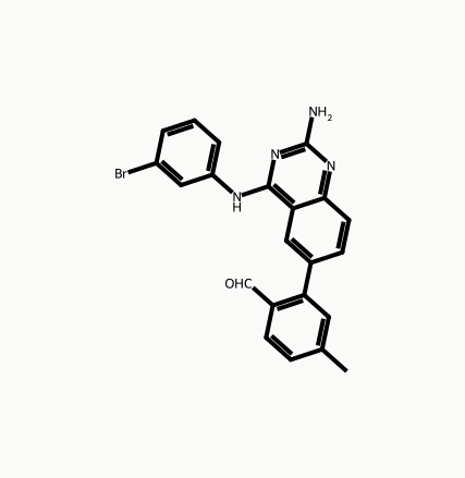 Cc1ccc(C=O)c(-c2ccc3nc(N)nc(Nc4cccc(Br)c4)c3c2)c1